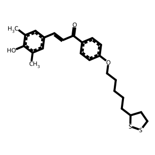 Cc1cc(/C=C/C(=O)c2ccc(OCCCCCC3CCSS3)cc2)cc(C)c1O